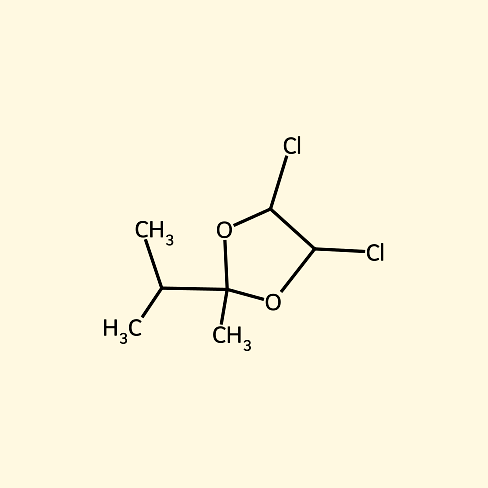 CC(C)C1(C)OC(Cl)C(Cl)O1